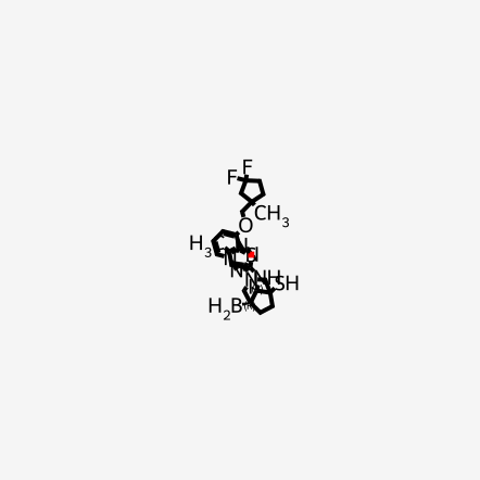 B[C@@]12CCC(S)(CN(c3cc(C)ns3)C1)[C@]2(I)Nc1nc2c(OCC3(C)CCC(F)(F)C3)cccn2n1